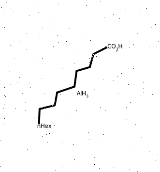 CCCCCCCCCCCCCC(=O)O.[AlH3]